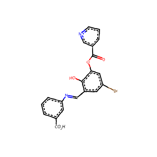 O=C(O)c1cccc(N=Cc2cc(Br)cc(OC(=O)c3cccnc3)c2O)c1